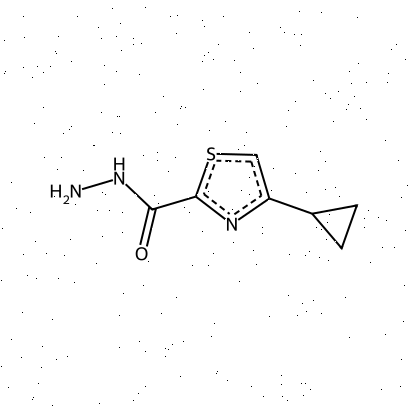 NNC(=O)c1nc(C2CC2)cs1